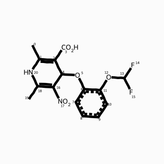 CC1=C(C(=O)O)C(Oc2ccccc2OC(F)F)C([N+](=O)[O-])=C(C)N1